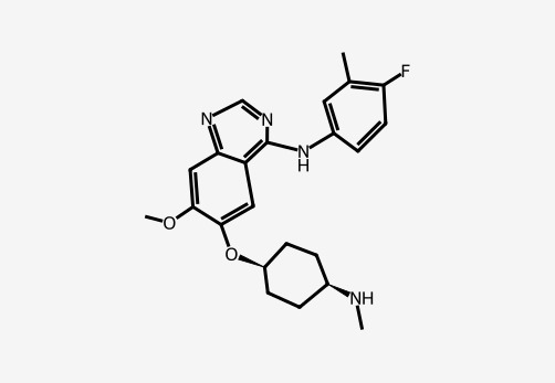 CN[C@H]1CC[C@@H](Oc2cc3c(Nc4ccc(F)c(C)c4)ncnc3cc2OC)CC1